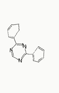 C1=CCCC(c2ncnc(-c3ccccc3)n2)=C1